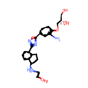 Nc1cc(-c2nc(-c3cccc4c3CCC4NCCO)no2)ccc1OC[C@@H](O)CO